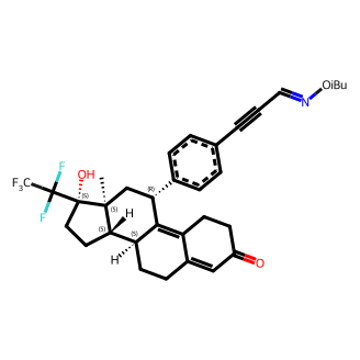 CC(C)CON=CC#Cc1ccc([C@H]2C[C@@]3(C)[C@@H](CC[C@@]3(O)C(F)(F)C(F)(F)F)[C@@H]3CCC4=CC(=O)CCC4=C32)cc1